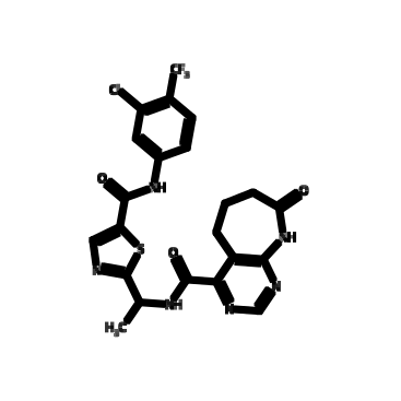 CC(NC(=O)c1ncnc2c1CCCC(=O)N2)c1ncc(C(=O)Nc2ccc(C(F)(F)F)c(Cl)c2)s1